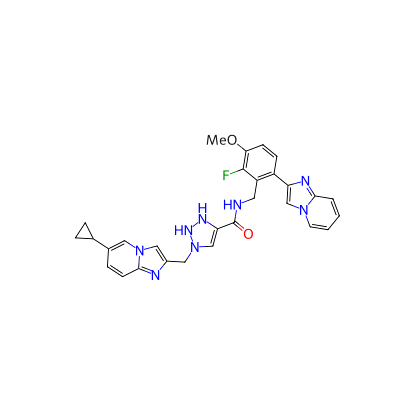 COc1ccc(-c2cn3ccccc3n2)c(CNC(=O)C2=CN(Cc3cn4cc(C5CC5)ccc4n3)NN2)c1F